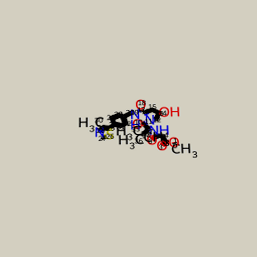 COC(=O)CC(=O)NC(C(=O)N1C[C@H](O)C[C@H]1C(=O)NCc1ccc(-c2scnc2C)cc1)C(C)(C)C